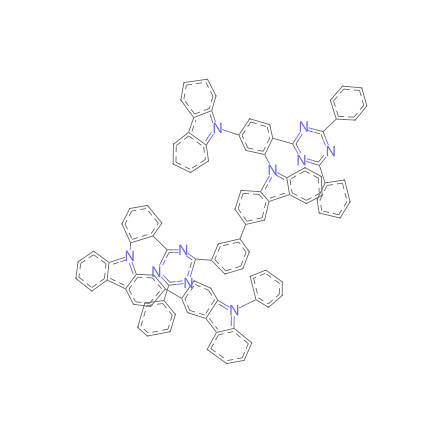 c1ccc(-c2nc(-c3cccc(-c4ccc5c(c4)c4ccccc4n5-c4cc(-n5c6ccccc6c6ccccc65)ccc4-c4nc(-c5ccccc5)nc(-c5ccccc5)n4)c3)nc(-c3ccccc3-n3c4ccccc4c4ccc(-c5ccc6c(c5)c5ccccc5n6-c5ccccc5)cc43)n2)cc1